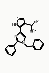 CCCC(CCC)c1cn[nH]c1-c1cn(Cc2ccccc2)c(-c2ccccc2)n1